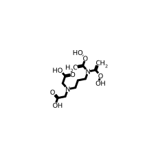 C=C(OO)N(CCCN(CC(=O)O)CC(=O)O)C(=C)OO